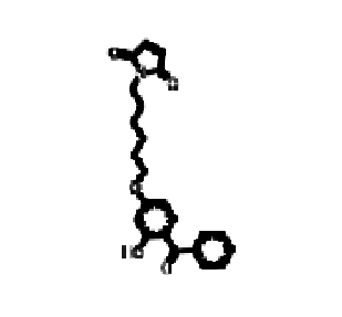 O=C(c1ccccc1)c1ccc(OCCCCCCN2C(=O)C=CC2=O)cc1O